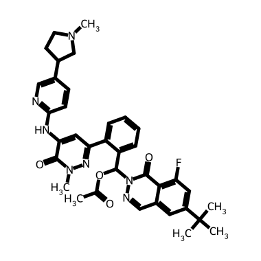 CC(=O)OC(c1ccccc1-c1cc(Nc2ccc(C3CCN(C)C3)cn2)c(=O)n(C)n1)n1ncc2cc(C(C)(C)C)cc(F)c2c1=O